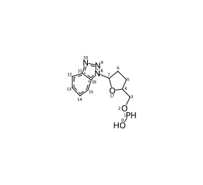 OPOCC1CCC(n2nnc3ccccc32)O1